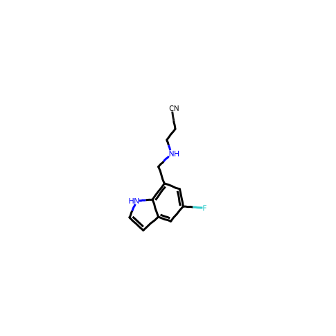 N#CCCNCc1cc(F)cc2cc[nH]c12